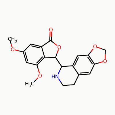 COc1cc(OC)c2c(c1)C(=O)OC2C1NCCc2cc3c(cc21)OCO3